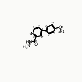 CCOc1ccc(-c2ccnc(C(=O)NN)c2)cc1